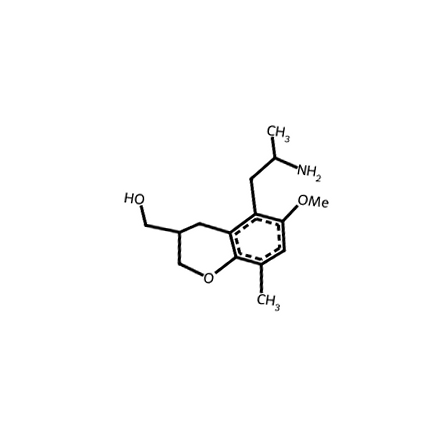 COc1cc(C)c2c(c1CC(C)N)CC(CO)CO2